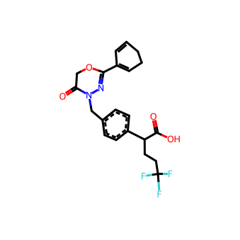 O=C(O)C(CCC(F)(F)F)c1ccc(CN2N=C(C3=CCCC=C3)OCC2=O)cc1